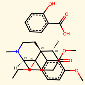 CCO[C@@]12CCC(=O)[C@@H](C)[C@@]13CCN(C)[C@@H]2Cc1ccc(OC)c(OC)c13.O=C(O)c1ccccc1O